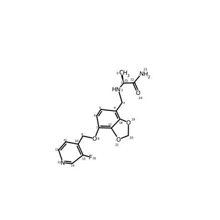 C[C@H](NCc1ccc(OCc2ccncc2F)c2c1OCO2)C(N)=O